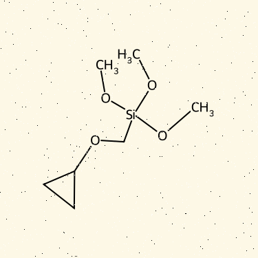 CO[Si](COC1CC1)(OC)OC